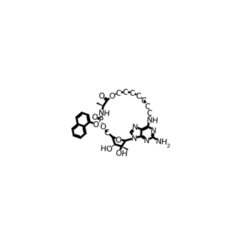 C[C@@H]1NP(=O)(Oc2cccc3ccccc23)OCC2OC(n3cnc4c(nc(N)nc43)NCCCCCCCOC1=O)[C@](C)(O)[C@@H]2O